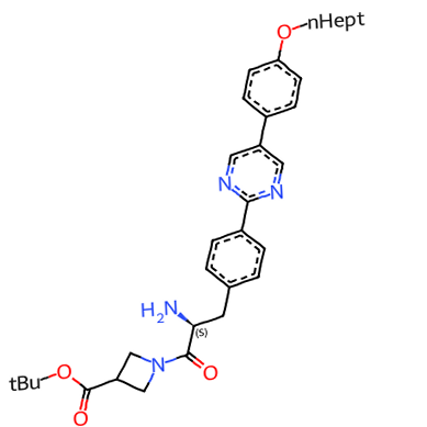 CCCCCCCOc1ccc(-c2cnc(-c3ccc(C[C@H](N)C(=O)N4CC(C(=O)OC(C)(C)C)C4)cc3)nc2)cc1